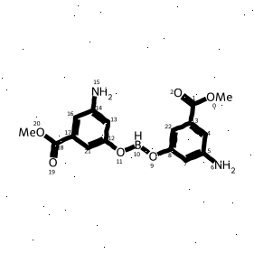 COC(=O)c1cc(N)cc(OBOc2cc(N)cc(C(=O)OC)c2)c1